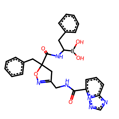 O=C(NCC1=NOC(Cc2ccccc2)(C(=O)NC(Cc2ccccc2)B(O)O)C1)c1cccc2ncnn12